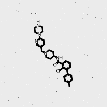 Cc1ccc(-c2cccc(C(=O)NC3CCN(Cc4ccc(N5CCNCC5)nc4)CC3)c2Cl)cc1